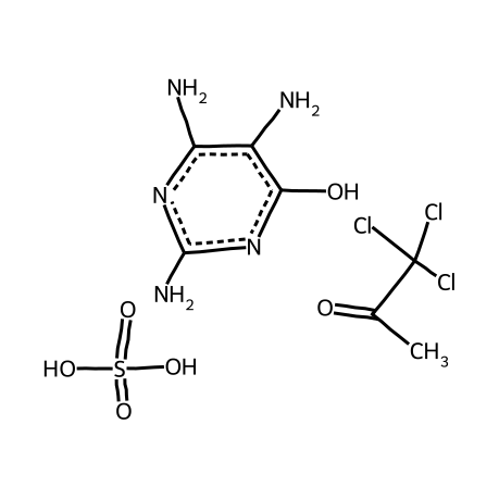 CC(=O)C(Cl)(Cl)Cl.Nc1nc(N)c(N)c(O)n1.O=S(=O)(O)O